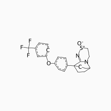 [O-][S+]1CCN2C(=N1)C1(c3ccc(Oc4cccc(C(F)(F)F)c4)cc3)CCC2CC1